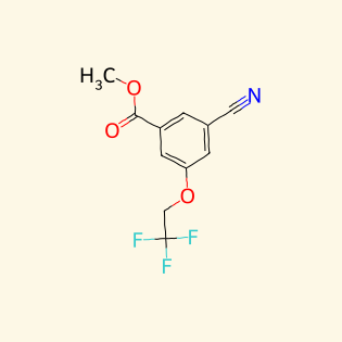 COC(=O)c1cc(C#N)cc(OCC(F)(F)F)c1